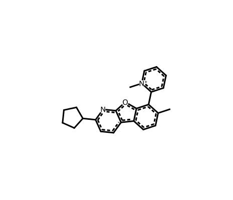 Cc1ccc2c(oc3nc(C4CCCC4)ccc32)c1-c1cccc[n+]1C